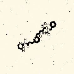 CC(C)(C)OC(=O)C(Cc1cc2cc(CCC(=O)NC3=NCCCN3)ccc2o1)NC(=O)OCc1ccccc1